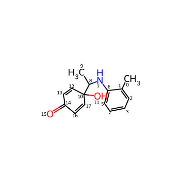 Cc1ccccc1NC(C)C1(O)C=CC(=O)C=C1